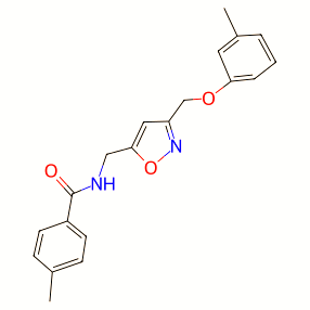 Cc1ccc(C(=O)NCc2cc(COc3cccc(C)c3)no2)cc1